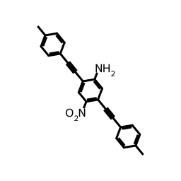 Cc1ccc(C#Cc2cc([N+](=O)[O-])c(C#Cc3ccc(C)cc3)cc2N)cc1